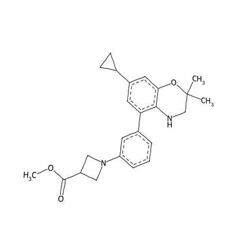 COC(=O)C1CN(c2cccc(-c3cc(C4CC4)cc4c3NCC(C)(C)O4)c2)C1